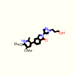 COC1=C(OC)NC(C)C(c2ccc3c(c2)CN(c2cnn(CCCO)c2)C3=O)=C1